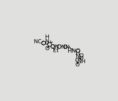 CCc1cc2c(cc1N1CCC(N3CCN(CCCNc4cccc5c4CN(C4CCC(=O)NC4=O)C5=O)CC3)CC1)C(C)(C)c1[nH]c3cc(C#N)ccc3c1C2=O